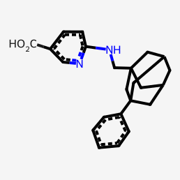 O=C(O)c1ccc(NCC23CC4CC(C2)CC(c2ccccc2)(C4)C3)nc1